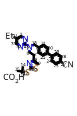 CCc1cnc(N(CCc2csc(SC(C)(C)C(=O)O)n2)Cc2ccc(-c3ccc(C#N)cc3)cc2)nc1